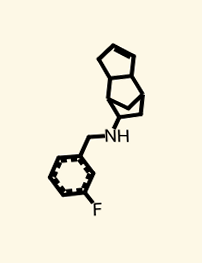 Fc1cccc(CNC2CC3CC2C2CC=CC32)c1